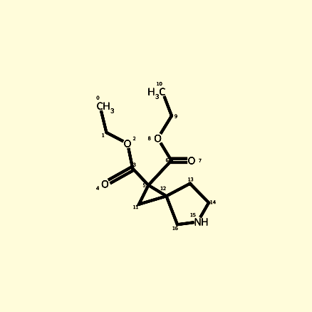 CCOC(=O)C1(C(=O)OCC)CC12CCNC2